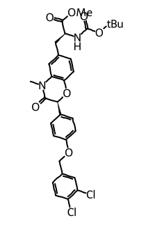 COC(=O)[C@H](Cc1ccc2c(c1)N(C)C(=O)[C@H](c1ccc(OCc3ccc(Cl)c(Cl)c3)cc1)O2)NC(=O)OC(C)(C)C